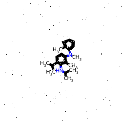 Cc1ccccc1N(C)c1ccc(C(C)C)c(NC(C)C)c1C